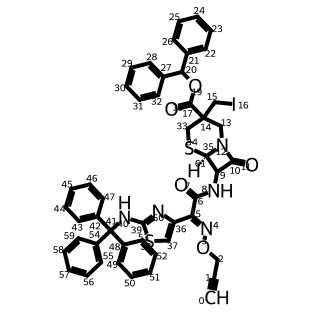 C#CCON=C(C(=O)NC1C(=O)N2CC(CI)(C(=O)OC(c3ccccc3)c3ccccc3)CS[C@H]12)c1csc(NC(c2ccccc2)(c2ccccc2)c2ccccc2)n1